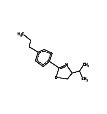 CCCc1ccc(C2=NC(C(C)C)CO2)cc1